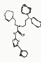 O=C(Nc1nc(-c2ccccc2)cs1)N(CCC(c1ccccc1)c1ccncc1)CCN1CCOCC1